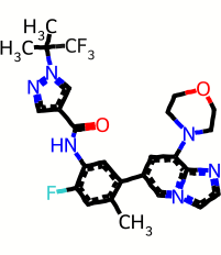 Cc1cc(F)c(NC(=O)c2cnn(C(C)(C)C(F)(F)F)c2)cc1-c1cc(N2CCOCC2)c2nccn2c1